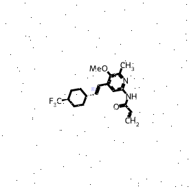 C=CC(=O)Nc1cc(/C=C/[C@H]2CC[C@H](C(F)(F)F)CC2)c(OC)c(C)n1